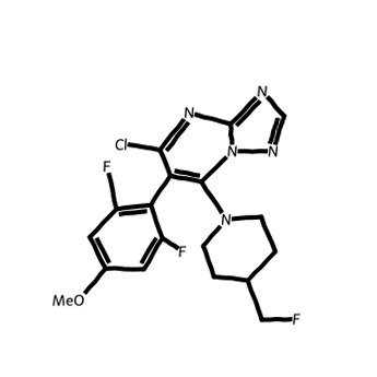 COc1cc(F)c(-c2c(Cl)nc3ncnn3c2N2CCC(CF)CC2)c(F)c1